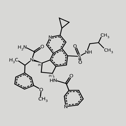 COc1cccc(C(C)N(C(N)=O)[C@@H]2C[C@@H](NC(=O)c3cccnc3)c3cc(S(=O)(=O)NCC(C)C)c4cc(C5CC5)ncc4c32)c1